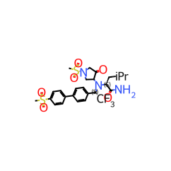 CC(C)C[C@@H](C(N)=O)N(C1CN(S(C)(=O)=O)CC1=O)[C@@H](c1ccc(-c2ccc(S(C)(=O)=O)cc2)cc1)C(F)(F)F